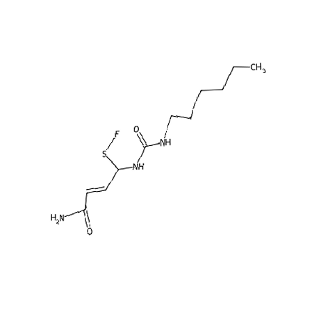 CCCCCCNC(=O)NC(/C=C/C(N)=O)SF